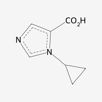 O=C(O)c1cncn1C1CC1